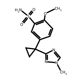 COc1ccc(C2(c3ncn(C)n3)CC2)cc1S(N)(=O)=O